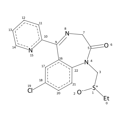 CC[S+]([O-])CN1C(=O)CN=C(c2ccccn2)c2cc(Cl)ccc21